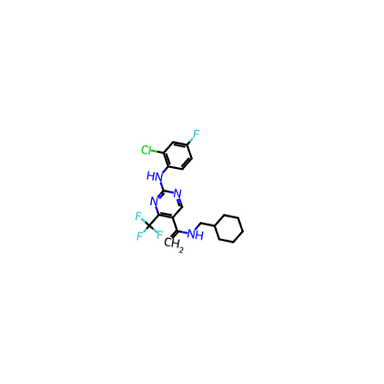 C=C(NCC1CCCCC1)c1cnc(Nc2ccc(F)cc2Cl)nc1C(F)(F)F